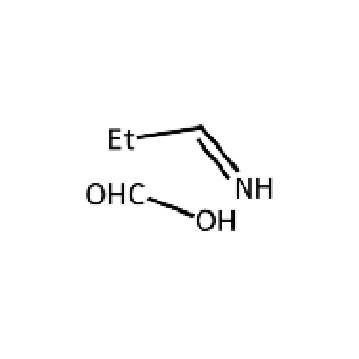 CCC=N.O=CO